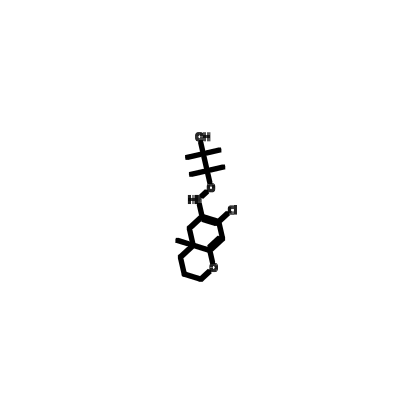 CC12CCCOC1=CC(Cl)=C(BOC(C)(C)C(C)(C)O)C2